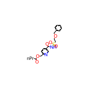 CCCC(=O)OCc1ccc(C(=O)NS(=O)(=O)CCOCc2ccccc2)cn1